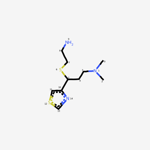 CN(C)CCC(SCCN)c1cscn1